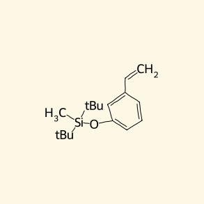 C=Cc1cccc(O[Si](C)(C(C)(C)C)C(C)(C)C)c1